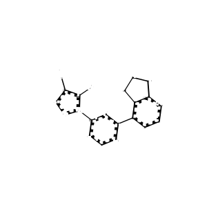 Cc1cnn(-c2cccc(-c3cccc4c3CCC4)c2)c1N